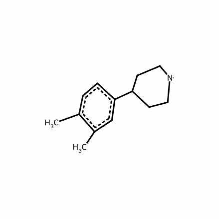 Cc1ccc(C2CC[N]CC2)cc1C